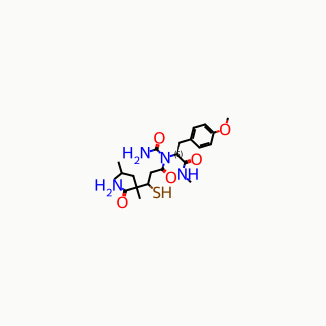 CNC(=O)[C@H](Cc1ccc(OC)cc1)N(C(N)=O)C(=O)CC(S)C(C)(CC(C)C)C(N)=O